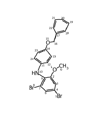 COc1cc(Br)cc(Br)c1Nc1ccc(OCc2ccccc2)cc1